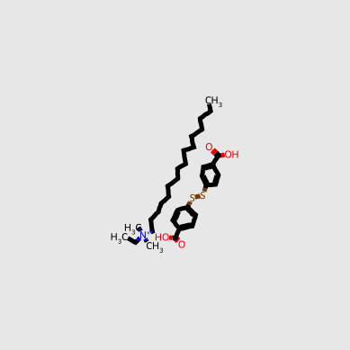 CCCCCCCCCCCCCCCC[N+](C)(C)CC.O=C(O)c1ccc(SSc2ccc(C(=O)O)cc2)cc1